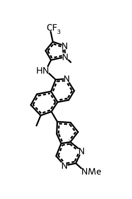 CNc1ncc2cc(-c3c(C)ccc4c(Nc5cc(C(F)(F)F)nn5C)nccc34)ccc2n1